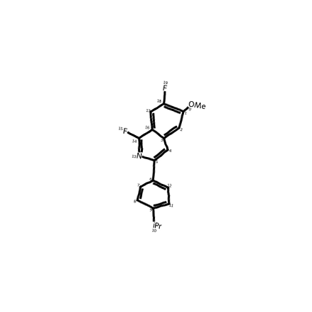 COc1cc2cc(-c3ccc(C(C)C)cc3)nc(F)c2cc1F